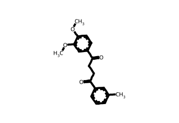 COc1ccc(C(=O)CCC(=O)c2cccc(C)c2)cc1OC